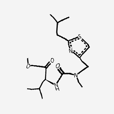 COC(=O)[C@@H](NC(=O)N(C)Cc1csc(CC(C)C)n1)C(C)C